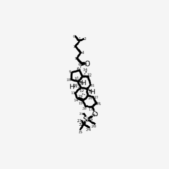 CC(C)CCCC(=O)[C@H]1CC[C@H]2[C@@H]3CC=C4CC(O[Si](C)(C)C(C)(C)C)CC[C@]4(C)[C@H]3CC[C@]12C